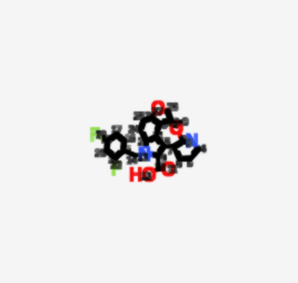 COc1ncccc1-c1c(C(=O)O)n(Cc2ccc(F)cc2F)c2ccc3occc3c12